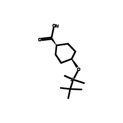 CC(C)(C)[Si](C)(C)O[C@H]1CC[C@H](C(=O)O)CC1